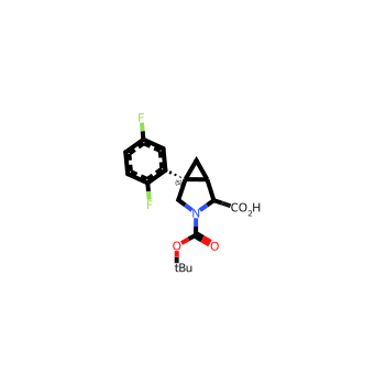 CC(C)(C)OC(=O)N1C[C@@]2(c3cc(F)ccc3F)CC2C1C(=O)O